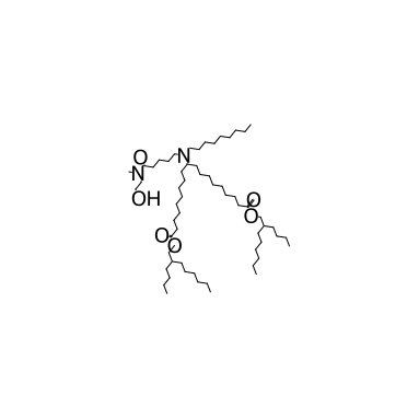 CCCCCCCCCN(CCCCC(=O)N(C)CCO)C(CCCCCCCCC(=O)OCC(CCCC)CCCCCC)CCCCCCCCC(=O)OCC(CCCC)CCCCCC